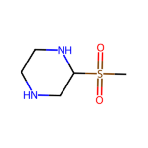 CS(=O)(=O)C1CNCCN1